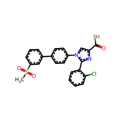 CS(=O)(=O)c1cccc(-c2ccc(-n3cc(C(=O)S)nc3-c3ccccc3Cl)cc2)c1